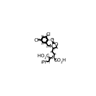 CC(C)CC(C(=O)O)N(CCC1COC(=O)N1Cc1cc(Cl)cc(Cl)c1)C(=O)O